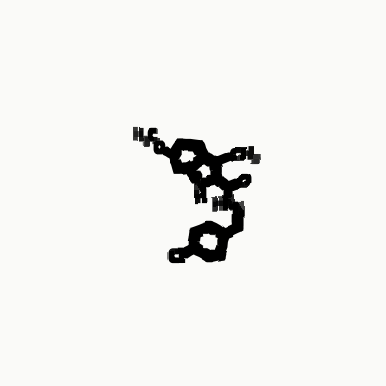 COc1ccc2c(C)c(C(=O)N/N=C\c3ccc(Cl)cc3)[nH]c2c1